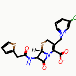 O=C(Cc1cccs1)NC1C(=O)N2C(C(=O)[O-])=C(C[n+]3cccc(Cl)c3)CS[C@@H]12